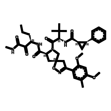 CCC[C@H](NC(=O)[C@@H]1C[C@]2(CC(c3cc(C)c(OC)cc3OC)=NO2)CN1C(=O)[C@@H](NC(=O)[C@@H]1C[C@H]1c1ccccc1)C(C)(C)C)C(=O)C(=O)NC